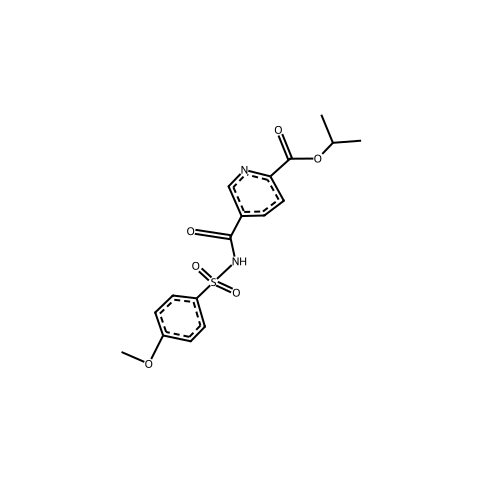 COc1ccc(S(=O)(=O)NC(=O)c2ccc(C(=O)OC(C)C)nc2)cc1